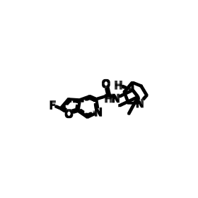 CC1(C)[C@H](NC(=O)c2cc3cc(F)oc3cn2)C2CCN1CC2